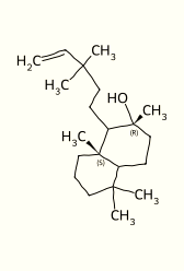 C=CC(C)(C)CCC1[C@@]2(C)CCCC(C)(C)C2CC[C@@]1(C)O